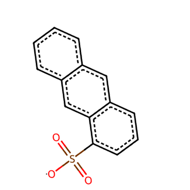 [O]S(=O)(=O)c1cccc2cc3ccccc3cc12